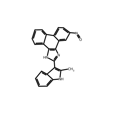 Cc1[nH]c2ccccc2c1-c1nc2c3cc(N=O)ccc3c3ccccc3c2[nH]1